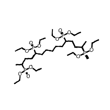 C=P(OCC)(OCC)C(C)CCC(CCCCCC(CCC(C)P(=O)(OCC)OCC)P(=O)(OCC)OCC)P(=O)(OCC)OCC